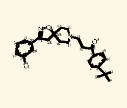 CC(C)(C)c1ccc(C(=O)C=CN2CCC3(CC2)CC(c2cccc(Cl)c2)=NO3)cc1